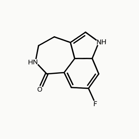 O=C1NCCC2=CNC3C=C(F)C=C1C23